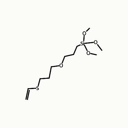 C=CSCCCOCCC[Si](OC)(OC)OC